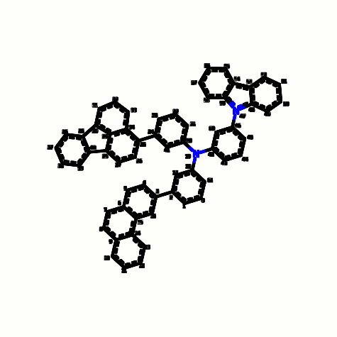 c1cc(-c2ccc3ccc4ccccc4c3c2)cc(N(c2cccc(-c3ccc4c5c(cccc35)-c3ccccc3-4)c2)c2cccc(-n3c4ccccc4c4ccccc43)c2)c1